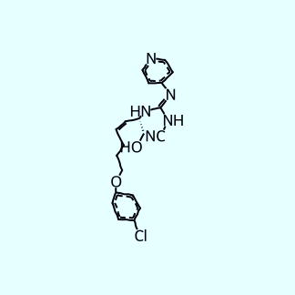 N#CNC(=Nc1ccncc1)N[C@@H](/C=C\CCCOc1ccc(Cl)cc1)CO